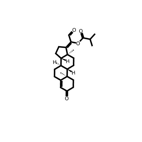 CC(C)C(=O)OC(C=O)=C1CC[C@H]2[C@@H]3CCC4=CC(=O)CC[C@]4(C)[C@H]3CC[C@]12C